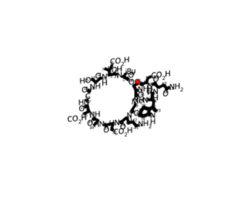 CCC(C)C1NC(=O)C(C(C)CC(=O)O)NC(=O)C(CO)NC(=O)CNC(=O)C(CC(=O)O)NC(=O)C(C)NC(=O)C(CC(=O)O)NC(=O)C(CCCN)NC(=O)CNC(=O)C(NC(=O)C(CC(=O)O)NC(=O)C(CC(N)=O)NC(=O)C(Cc2c[nH]c3ccccc23)NC)C(C)OC1=O